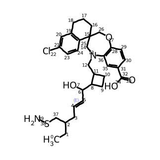 CCC(C/C=C/C(O)C1CCC1CN1CC2(CCCc3cc(Cl)ccc32)COc2ccc(C(=O)O)cc21)CSN